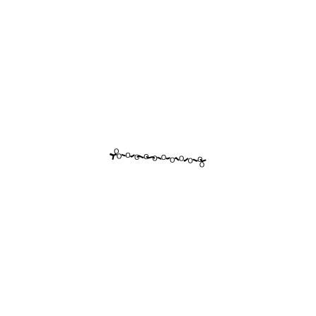 C=C(C)C(=O)OCCOCCOCCOCCOCCOCCOCCOCCOCCOC(C)=O